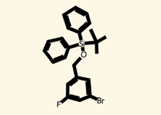 CC(C)(C)[Si](OCc1cc(F)cc(Br)c1)(c1ccccc1)c1ccccc1